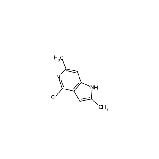 Cc1cc2[nH]c(C)cc2c(Cl)n1